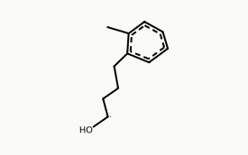 Cc1ccccc1CCC[CH]O